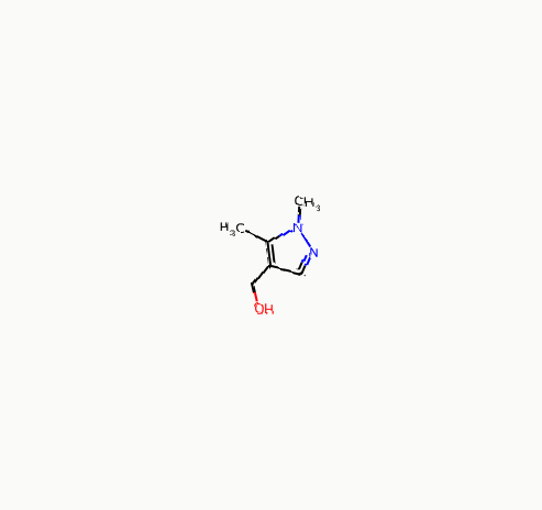 Cc1c(CO)[c]nn1C